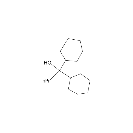 CCCC(O)(C1CCCCC1)C1CCCCC1